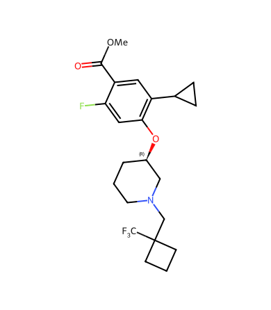 COC(=O)c1cc(C2CC2)c(O[C@@H]2CCCN(CC3(C(F)(F)F)CCC3)C2)cc1F